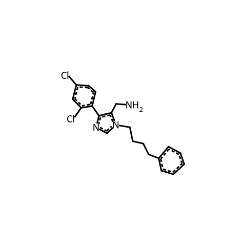 NCc1c(-c2ccc(Cl)cc2Cl)ncn1CCCCc1ccccc1